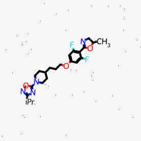 CC1CN=C(c2c(F)cc(OCCCC3CCN(c4nc(C(C)C)no4)CC3)cc2F)O1